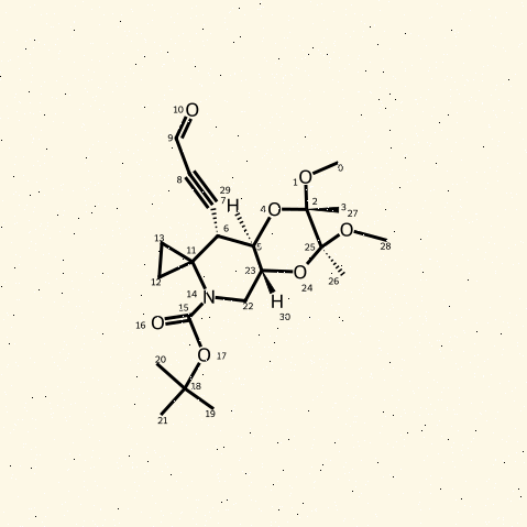 CO[C@@]1(C)O[C@@H]2[C@@H](C#CC=O)C3(CC3)N(C(=O)OC(C)(C)C)C[C@H]2O[C@]1(C)OC